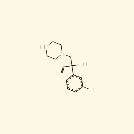 O=CC(O)(CN1CCNCC1)c1cccc(Cl)c1